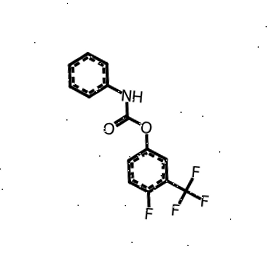 O=C(Nc1ccccc1)Oc1ccc(F)c(C(F)(F)F)c1